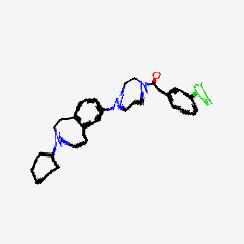 O=C(c1cccc(Cl)c1)N1CCN(c2ccc3c(c2)CCN(C2CCCC2)CC3)CC1